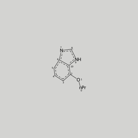 CCCOc1cccc2n[c][nH]c12